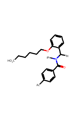 [2H]C(c1ccccc1OCCCCCC(=O)O)N(C(=O)c1ccc(C(C)=O)cc1)C(C)C